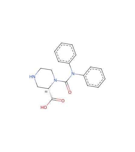 O=C(O)[C@@H]1CNCCN1C(=O)N(c1ccccc1)c1ccccc1